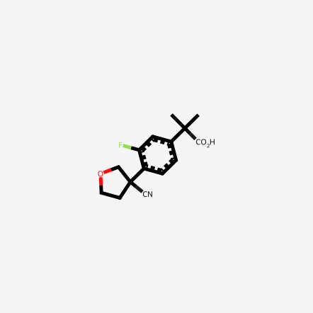 CC(C)(C(=O)O)c1ccc(C2(C#N)CCOC2)c(F)c1